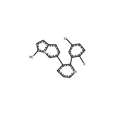 N#Cc1ccc2ccc(-c3cccnc3-c3cc(Cl)ccc3F)cn12